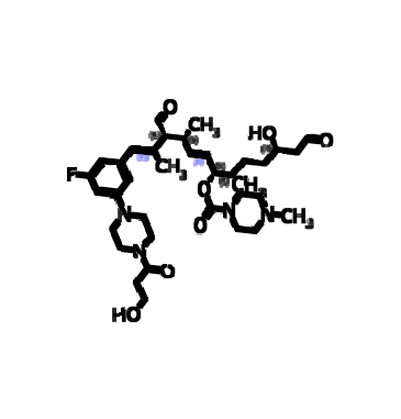 C/C(=C\c1cc(F)cc(N2CCN(C(=O)CCO)CC2)c1)[C@@H](C=O)[C@@H](C)/C=C/[C@H](OC(=O)N1CCN(C)CC1)[C@@H](C)CC[C@@H](O)CC=O